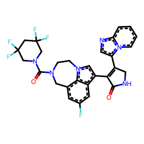 O=C1NCC(c2cnc3ccccn23)=C1c1cn2c3c(cc(F)cc13)CN(C(=O)N1CC(F)(F)CC(F)(F)C1)CC2